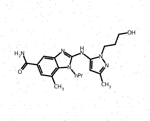 CCCn1c(Nc2cc(C)nn2CCCO)nc2cc(C(N)=O)cc(C)c21